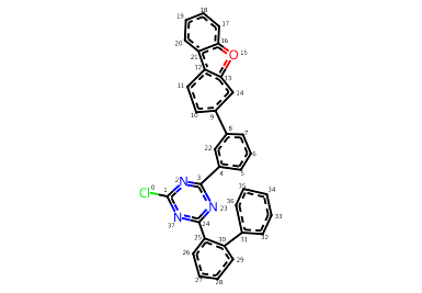 Clc1nc(-c2cccc(-c3ccc4c(c3)oc3ccccc34)c2)nc(-c2ccccc2-c2ccccc2)n1